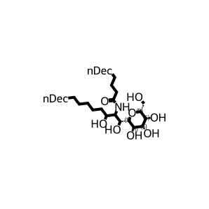 CCCCCCCCCCCCCCCC(O)C(NC(=O)CCCCCCCCCCCCC)C(O)[C@@H]1O[C@H](CO)[C@@H](O)[C@H](O)[C@H]1O